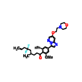 C=CCC(F)(F)CC(C)CCC(=O)c1c(CCC)cc(-c2cnc3cc(OCCN4CCOCC4)cnn23)cc1OC